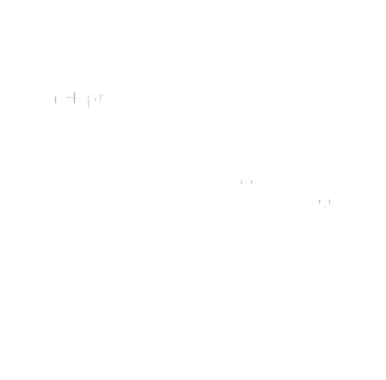 [CH2]C(CCCCCCCCCC)OC(=O)C(=C)C